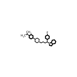 CC(C)c1ccc(C2CCN(CCCC(c3ccc(F)cc3)n3ccc4ccccc43)CC2)cc1